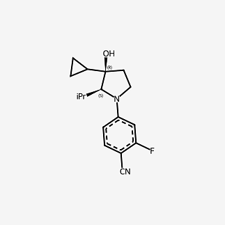 CC(C)[C@@H]1N(c2ccc(C#N)c(F)c2)CC[C@@]1(O)C1CC1